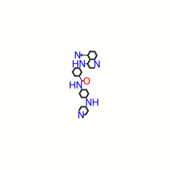 N#Cc1cccc2nccc(Nc3cccc(C(=O)Nc4ccc(Nc5ccncc5)cc4)c3)c12